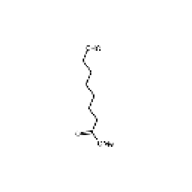 COC(=O)CCCCCCC=O